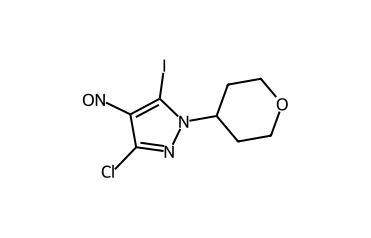 O=Nc1c(Cl)nn(C2CCOCC2)c1I